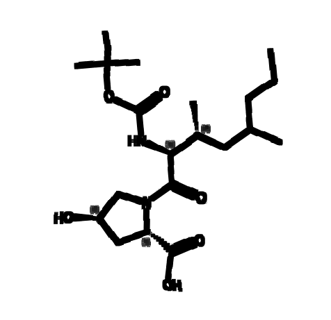 CCCC(C)C[C@@H](C)[C@H](NC(=O)OC(C)(C)C)C(=O)N1C[C@H](O)C[C@H]1C(=O)O